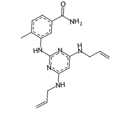 C=CCNc1cc(NCC=C)nc(Nc2cc(C(N)=O)ccc2C)n1